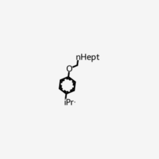 CCCCCCCCOc1ccc([C](C)C)cc1